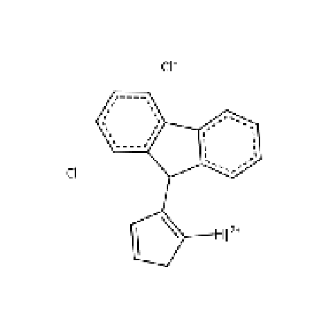 [Cl-].[Cl-].[Hf+2][C]1=C(C2c3ccccc3-c3ccccc32)C=CC1